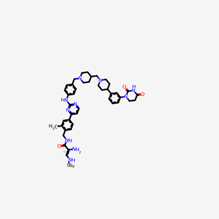 Cc1cc(-c2ccnc(Nc3ccc(CN4CCC(CN5CCC(c6cccc(N7CCC(=O)NC7=O)c6)CC5)CC4)cc3)n2)ccc1CNC(=O)/C(N)=C/NC(C)(C)C